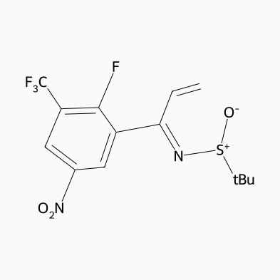 C=C/C(=N\[S+]([O-])C(C)(C)C)c1cc([N+](=O)[O-])cc(C(F)(F)F)c1F